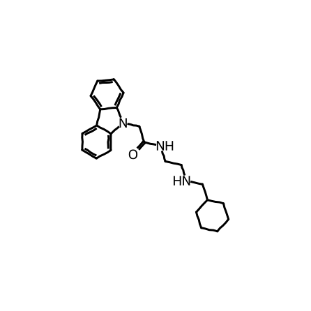 O=C(Cn1c2ccccc2c2ccccc21)NCCNCC1CCCCC1